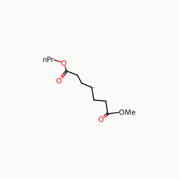 CCCOC(=O)CC[CH]CCC(=O)OC